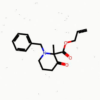 C=CCOC(=O)C1(C)C(=O)CCCN1Cc1ccccc1